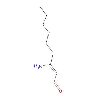 CCCCCCC(N)=CC=O